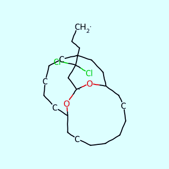 [CH2]CCC(Cl)(Cl)C[C]1OC2CCCCCCCCC(CCCCCCCC2)O1